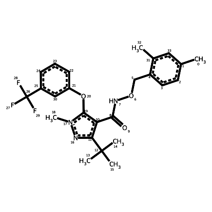 Cc1ccc(CONC(=O)c2c(C(C)(C)C)nn(C)c2Oc2cccc(C(F)(F)F)c2)c(C)c1